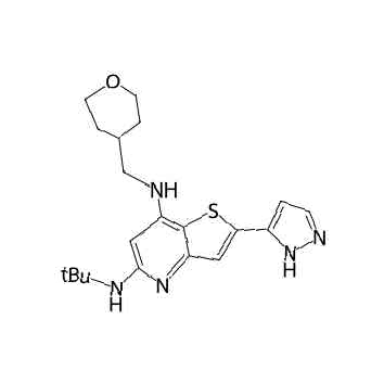 CC(C)(C)Nc1cc(NCC2CCOCC2)c2sc(-c3ccn[nH]3)cc2n1